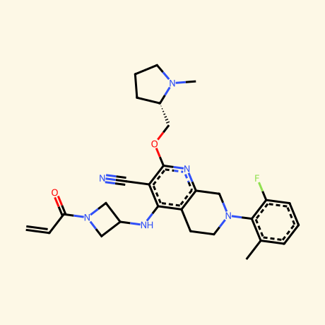 C=CC(=O)N1CC(Nc2c(C#N)c(OC[C@@H]3CCCN3C)nc3c2CCN(c2c(C)cccc2F)C3)C1